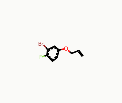 C=CCOc1ccc(F)c(Br)c1